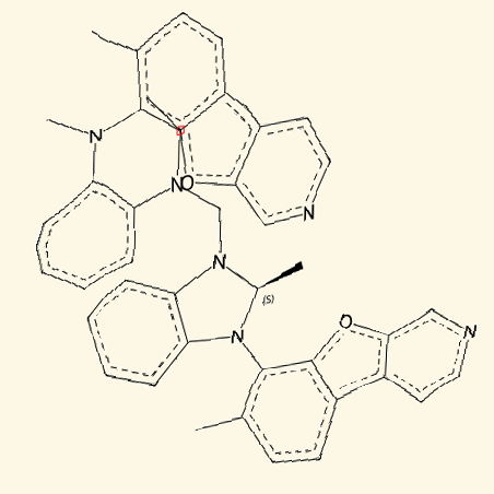 CCN(CN1c2ccccc2N(c2c(C)ccc3c2oc2cnccc23)[C@@H]1C)c1ccccc1N(C)c1c(C)ccc2c1oc1cnccc12